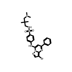 CN(C)CC(C)(C)CNS(=O)(=O)c1ccc(Nc2cc(-c3ccccc3)nc3c(Br)cnn23)cc1